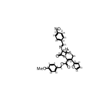 COc1ccc(COC(=O)C2=C(c3ccco3)CS[C@H]3[C@H](N=Cc4ccc([N+](=O)[O-])cc4)C(=O)N23)cc1